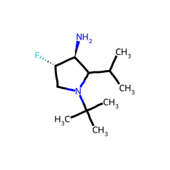 CC(C)C1[C@H](N)[C@@H](F)CN1C(C)(C)C